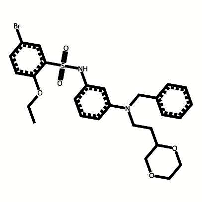 CCOc1ccc(Br)cc1S(=O)(=O)Nc1cccc(N(CCC2COCCO2)Cc2ccccc2)c1